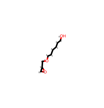 OCCCCCCOCC1CO1